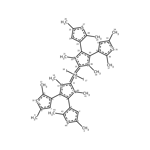 Cc1cc(-c2c(-c3cc(C)sc3C)n(C)[c](=[Pd]([I])([I])=[c]3n(C)c(-c4cc(C)sc4C)c(-c4cc(C)sc4C)n3C)n2C)c(C)s1